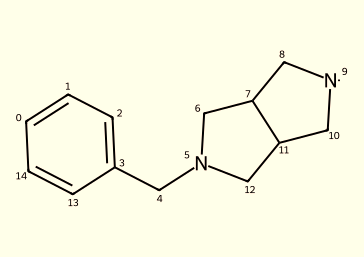 c1ccc(CN2CC3C[N]CC3C2)cc1